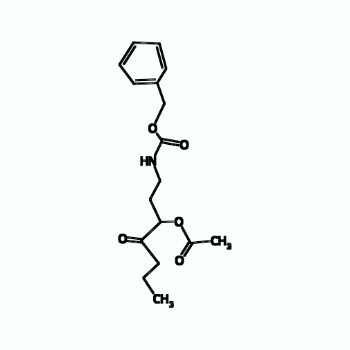 CCCC(=O)C(CCNC(=O)OCc1ccccc1)OC(C)=O